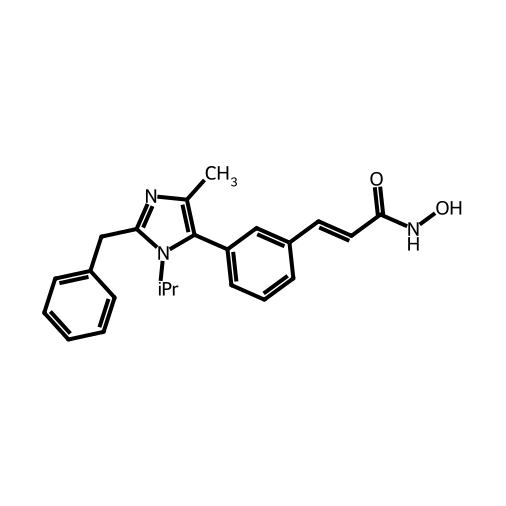 Cc1nc(Cc2ccccc2)n(C(C)C)c1-c1cccc(/C=C/C(=O)NO)c1